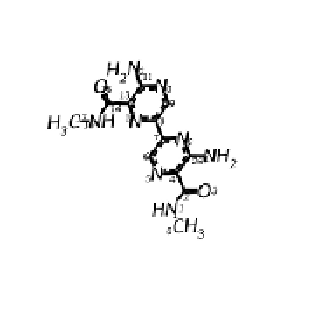 CNC(=O)c1ncc(-c2cnc(N)c(C(=O)NC)n2)nc1N